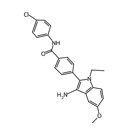 CCn1c(-c2ccc(C(=O)Nc3ccc(Cl)cc3)cc2)c(N)c2cc(OC)ccc21